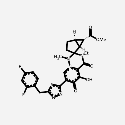 CCN1C(=O)c2c(O)c(=O)c(-c3nnc(Cc4ccc(F)cc4F)s3)cn2N(C)C12CC[C@H]1[C@H](C(=O)OC)[C@H]12